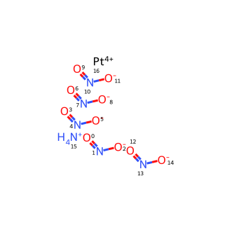 O=N[O-].O=N[O-].O=N[O-].O=N[O-].O=N[O-].[NH4+].[Pt+4]